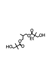 CCC(C)(CO)C(=O)OCC(C)COC(=O)C(C)(C)CO